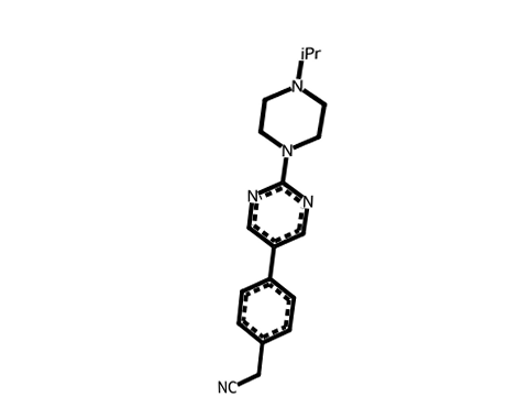 CC(C)N1CCN(c2ncc(-c3ccc(CC#N)cc3)cn2)CC1